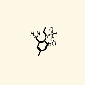 CCN(c1ccc(C)cc1CN)S(C)(=O)=O.Cl